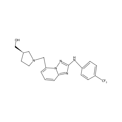 OC[C@@H]1CCN(Cc2cccc3nc(Nc4ccc(C(F)(F)F)cc4)nn23)C1